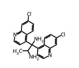 CC(N)C(N)(c1ccnc2cc(Cl)ccc12)c1ccnc2cc(Cl)ccc12